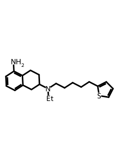 CCN(CCCCCc1cccs1)C1CCc2c(N)cccc2C1